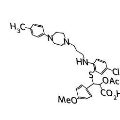 COc1ccc(C(Sc2cc(Cl)ccc2NCCCN2CCN(c3ccc(C)cc3)CC2)C(OC(C)=O)C(=O)O)cc1